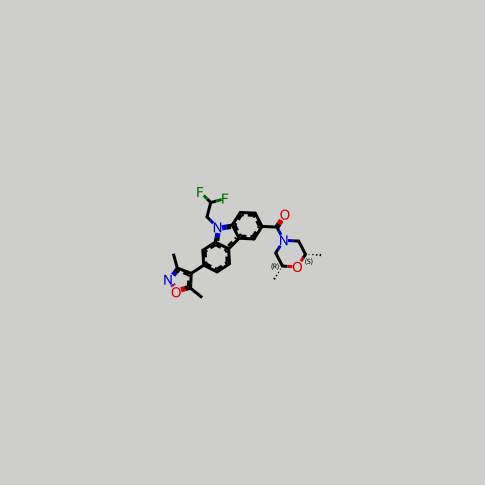 Cc1noc(C)c1-c1ccc2c3cc(C(=O)N4C[C@@H](C)O[C@@H](C)C4)ccc3n(CC(F)F)c2c1